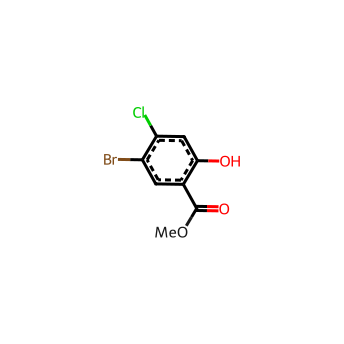 COC(=O)c1cc(Br)c(Cl)cc1O